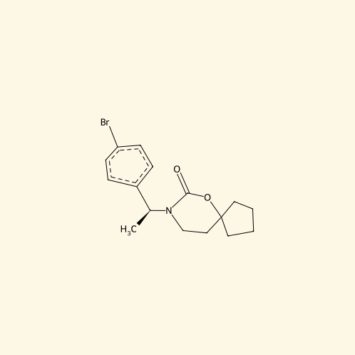 C[C@@H](c1ccc(Br)cc1)N1CCC2(CCCC2)OC1=O